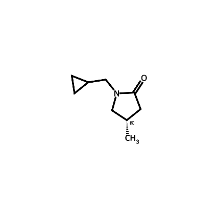 C[C@H]1CC(=O)N(CC2CC2)C1